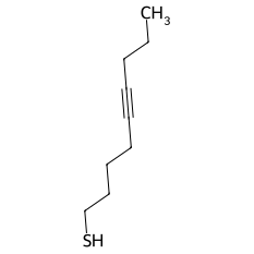 CCCC#CCCCCS